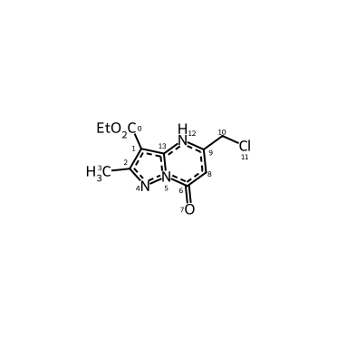 CCOC(=O)c1c(C)nn2c(=O)cc(CCl)[nH]c12